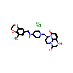 Cl.Cl.N#Cc1cc(CNC2CCN(C[C@@H]3CCN4C(=O)CNc5ccc(=O)n3c54)CC2)cc2c1OCCO2